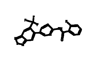 O=C(Nc1ccc(-c2cc3nsnc3cc2C(F)(F)F)cn1)c1ccccc1F